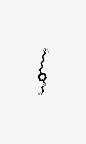 CCCCCCCc1ccc(OCCO)cc1